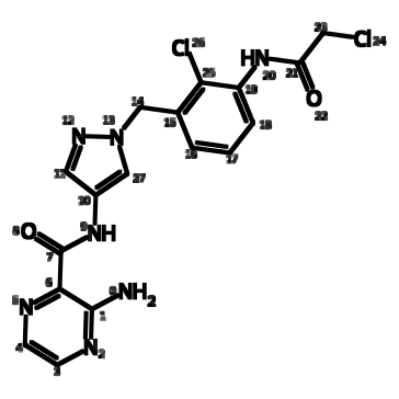 Nc1nccnc1C(=O)Nc1cnn(Cc2cccc(NC(=O)CCl)c2Cl)c1